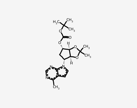 Cc1ncnc2c1ccn2[C@@H]1C[C@H](OC(=O)OC(C)(C)C)[C@H]2OC(C)(C)O[C@H]21